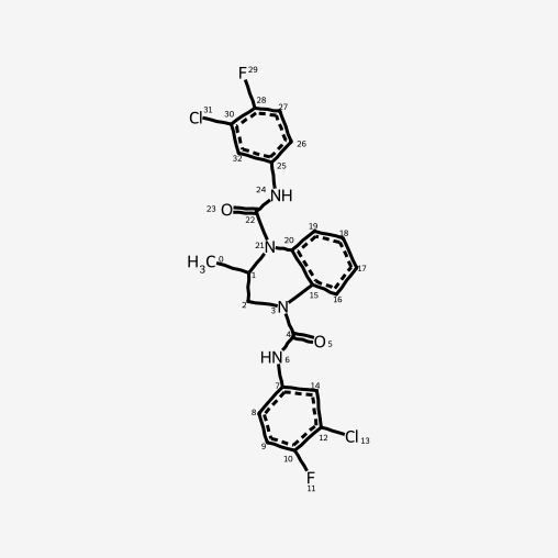 CC1CN(C(=O)Nc2ccc(F)c(Cl)c2)c2ccccc2N1C(=O)Nc1ccc(F)c(Cl)c1